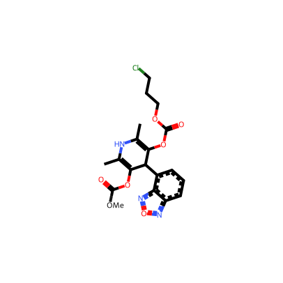 COC(=O)OC1=C(C)NC(C)=C(OC(=O)OCCCCl)C1c1cccc2nonc12